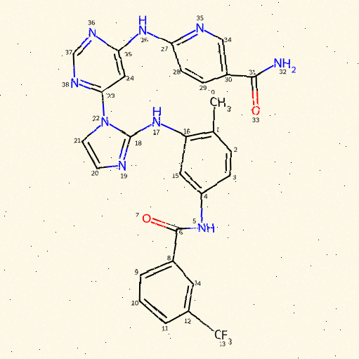 Cc1ccc(NC(=O)c2cccc(C(F)(F)F)c2)cc1Nc1nccn1-c1cc(Nc2ccc(C(N)=O)cn2)ncn1